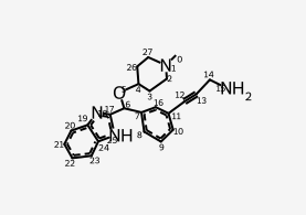 CN1CCC(OC(c2cccc(C#CCN)c2)c2nc3ccccc3[nH]2)CC1